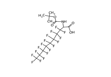 CC(C)(C)OC(=O)NC(C(=O)O)C(F)(F)C(F)(F)C(F)(F)C(F)(F)C(F)(F)C(F)(F)C(F)(F)C(F)(F)F